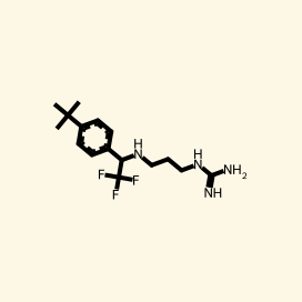 CC(C)(C)c1ccc(C(NCCCNC(=N)N)C(F)(F)F)cc1